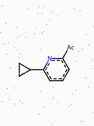 CC(=O)c1cccc(C2CC2)n1